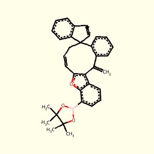 C=C1c2ccccc2C2(C/C=C\c3oc4c(B5OC(C)(C)C(C)(C)O5)cccc4c31)c1ccccc1-c1ccccc12